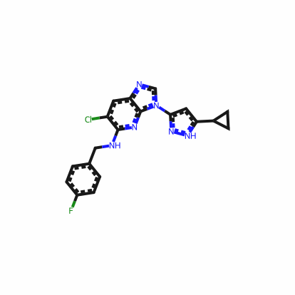 Fc1ccc(CNc2nc3c(cc2Cl)ncn3-c2cc(C3CC3)[nH]n2)cc1